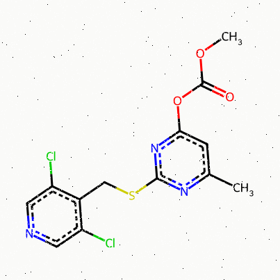 COC(=O)Oc1cc(C)nc(SCc2c(Cl)cncc2Cl)n1